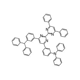 c1ccc(-c2cc(-c3ccccc3)nc(-c3nc(-c4cccc(C(c5ccccc5)c5ccccc5)c4)cc(-c4cccc(N(c5ccccc5)c5ccccc5)c4)n3)n2)cc1